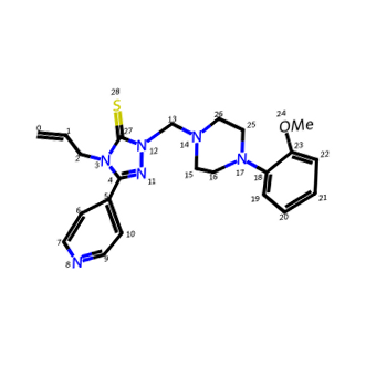 C=CCn1c(-c2ccncc2)nn(CN2CCN(c3ccccc3OC)CC2)c1=S